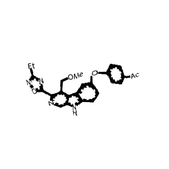 CCc1noc(-c2ncc3[nH]c4ccc(Oc5ccc(C(C)=O)cc5)cc4c3c2COC)n1